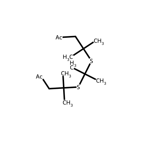 CC(=O)CC(C)(C)SC(C)(C)SC(C)(C)CC(C)=O